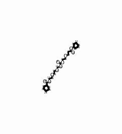 O=C(CCOCCOC(=O)OCOCCOCCOC(=O)c1ccccc1)Oc1ccccc1